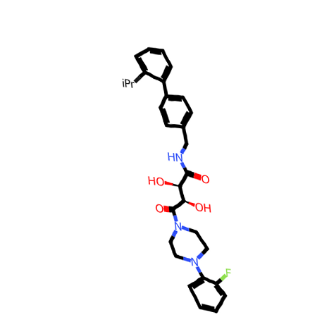 CC(C)c1ccccc1-c1ccc(CNC(=O)[C@H](O)[C@@H](O)C(=O)N2CCN(c3ccccc3F)CC2)cc1